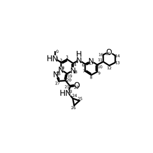 CNc1cc(Nc2cccc(C3CCCOC3)n2)nc2c(C(=O)NC3CC3)cnn12